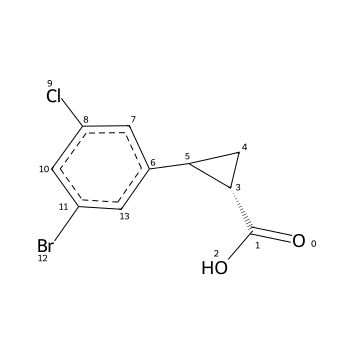 O=C(O)[C@H]1CC1c1cc(Cl)cc(Br)c1